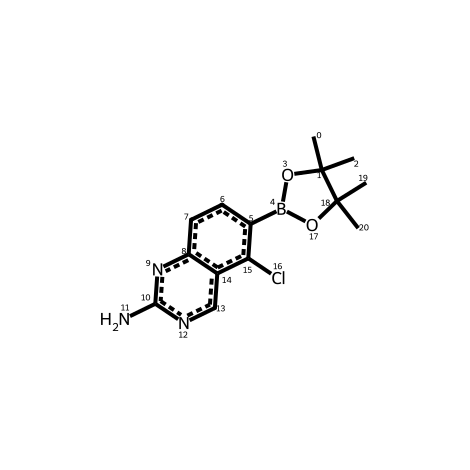 CC1(C)OB(c2ccc3nc(N)ncc3c2Cl)OC1(C)C